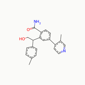 Cc1ccc(C(CO)c2cc(-c3ccncc3C)ccc2C(N)=O)cc1